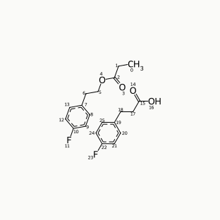 CCC(=O)OCCc1ccc(F)cc1.O=C(O)CCc1ccc(F)cc1